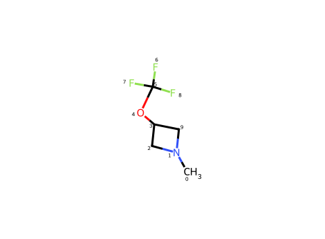 CN1CC(OC(F)(F)F)C1